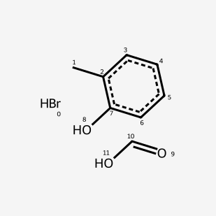 Br.Cc1ccccc1O.O=CO